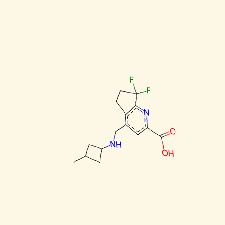 CC1CC(NCc2cc(C(=O)O)nc3c2CCC3(F)F)C1